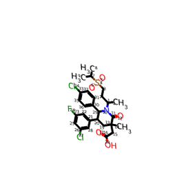 CC(CCS(=O)(=O)C(C)C)N1C(=O)C(C)(CC(=O)O)CC(c2cc(F)cc(Cl)c2)C1c1ccc(Cl)cc1